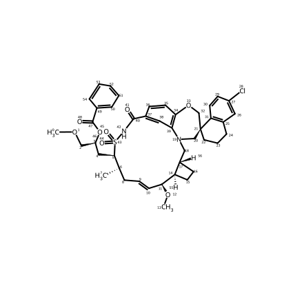 COC[C@H](C[C@@H]1[C@@H](C)C/C=C/[C@H](OC)[C@@H]2CC[C@H]2CN2C[C@@]3(CCCc4cc(Cl)ccc43)COc3ccc(cc32)C(=O)NS1(=O)=O)OC(=O)c1ccccc1